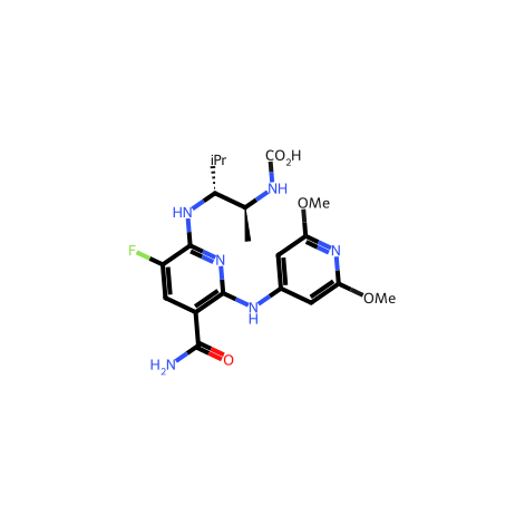 COc1cc(Nc2nc(N[C@H](C(C)C)[C@H](C)NC(=O)O)c(F)cc2C(N)=O)cc(OC)n1